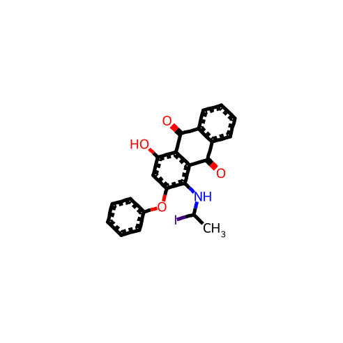 CC(I)Nc1c(Oc2ccccc2)cc(O)c2c1C(=O)c1ccccc1C2=O